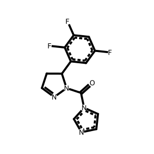 O=C(N1N=CCC1c1cc(F)cc(F)c1F)n1ccnc1